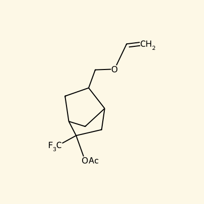 C=COCC1CC2CC1CC2(OC(C)=O)C(F)(F)F